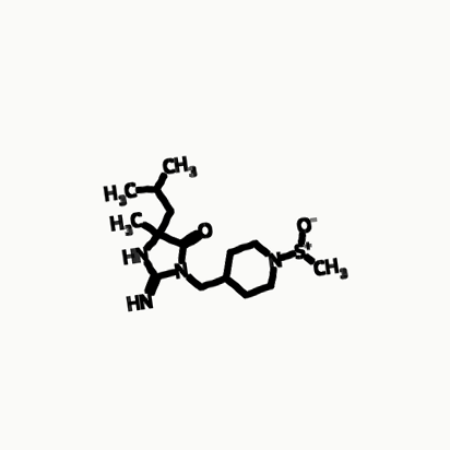 CC(C)CC1(C)NC(=N)N(CC2CCN([S+](C)[O-])CC2)C1=O